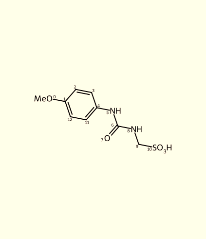 COc1ccc(NC(=O)NCS(=O)(=O)O)cc1